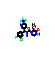 C[C@@H]1C(=O)NCCN1C(=O)N[C@H](c1ccc(C(F)(F)F)nc1)c1ccc(F)c(Cl)c1